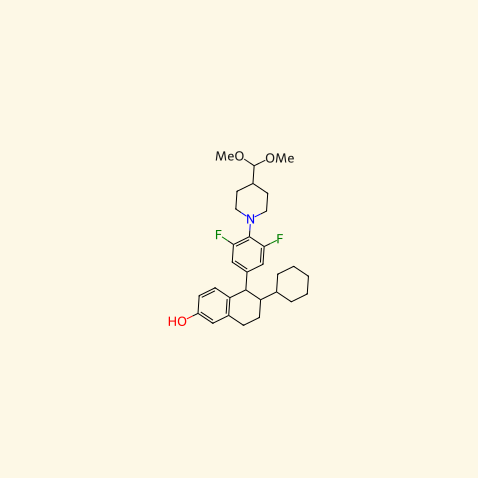 COC(OC)C1CCN(c2c(F)cc(C3c4ccc(O)cc4CCC3C3CCCCC3)cc2F)CC1